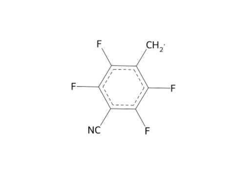 [CH2]c1c(F)c(F)c(C#N)c(F)c1F